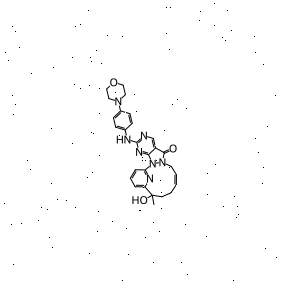 CC1(O)CC/C=C\Cn2c(=O)c3cnc(Nc4ccc(N5CCOCC5)cc4)nc3n2-c2cccc1n2